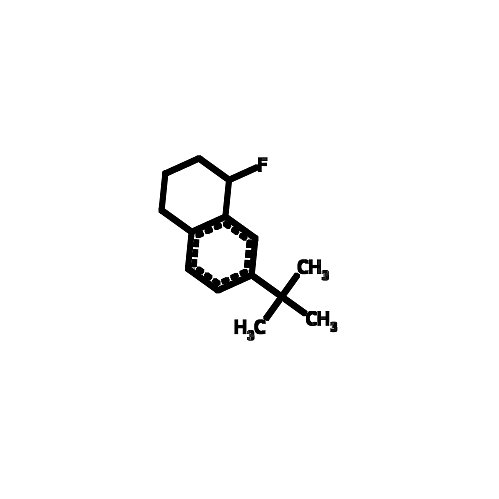 CC(C)(C)c1ccc2c(c1)C(F)CCC2